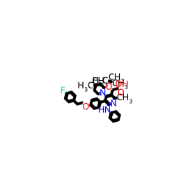 Cc1nc(Nc2ccccc2)c(-c2ccc(OCCc3ccc(F)cc3)cc2)c(N2CCC(C)(C)CC2)c1C(OC(C)(C)C)C(=O)O